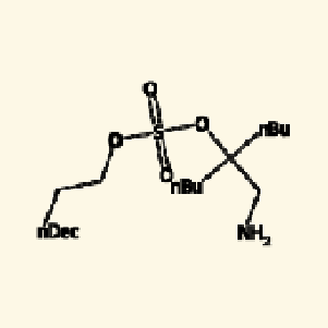 CCCCCCCCCCCCOS(=O)(=O)OC(CN)(CCCC)CCCC